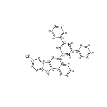 Clc1ccc2oc3c4ccccc4c(-c4nc(-c5ccccc5)nc(-c5ccccc5)n4)cc3c2c1